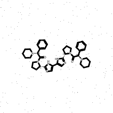 O=C([C@@H](c1ccccc1)N1CCCCC1)N1CCC[C@H]1c1ncc(-c2cnc([C@@H]3CCCN3C(=O)[C@@H](c3ccccc3)N3CCCCC3)[nH]2)[nH]1